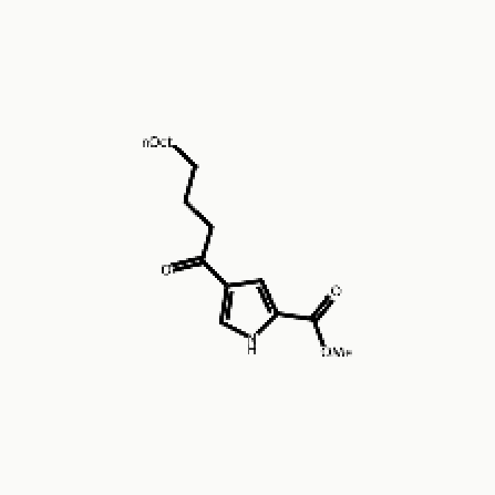 CCCCCCCCCCCC(=O)c1c[nH]c(C(=O)OC)c1